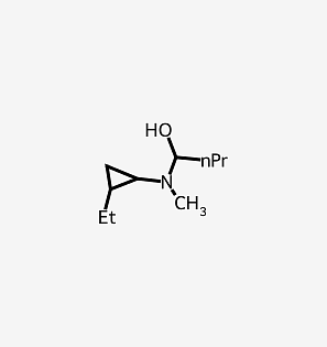 CCCC(O)N(C)C1CC1CC